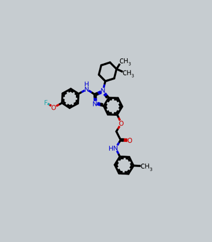 Cc1cccc(NC(=O)COc2ccc3c(c2)nc(Nc2ccc(OF)cc2)n3C2CCCC(C)(C)C2)c1